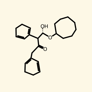 O=C(CC1=CCCC=C1)C(C1=CCCC=C1)[C@H](O)OC1CCCCCCC1